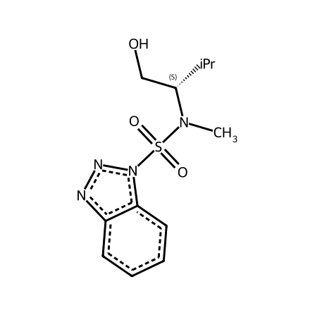 CC(C)[C@@H](CO)N(C)S(=O)(=O)n1nnc2ccccc21